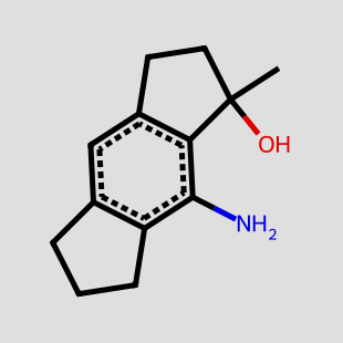 CC1(O)CCc2cc3c(c(N)c21)CCC3